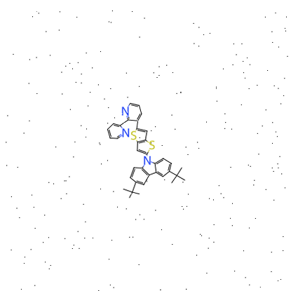 CC(C)(C)c1ccc2c(c1)c1cc(C(C)(C)C)ccc1n2-c1cc2sc(-c3cccnc3-c3ccccn3)cc2s1